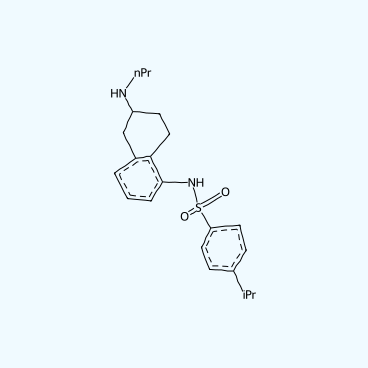 CCCNC1CCc2c(cccc2NS(=O)(=O)c2ccc(C(C)C)cc2)C1